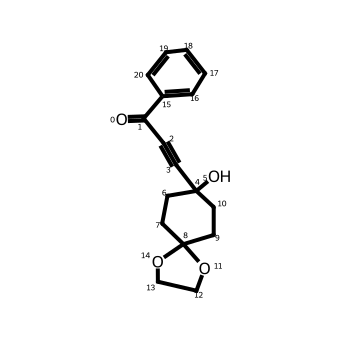 O=C(C#CC1(O)CCC2(CC1)OCCO2)c1ccccc1